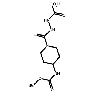 CC(C)(C)OC(=O)NC1CCN(C(=O)NNC(=O)C(=O)O)CC1